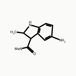 CNC(=O)C1c2cc(N)ccc2NC1C